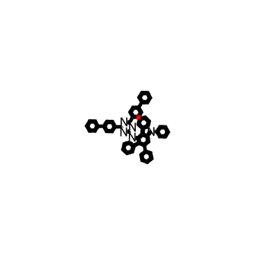 c1ccc(-c2ccc(-c3nc(-c4ccc(-c5ccccc5)cc4)nc(-n4c5ccccc5c5c(-c6ccccc6)cc6c(c7ccccc7n6-c6ccccc6)c54)n3)cc2)cc1